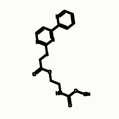 CC(C)(C)OC(=O)NCCOC(=O)CSc1nccc(-c2ccccn2)n1